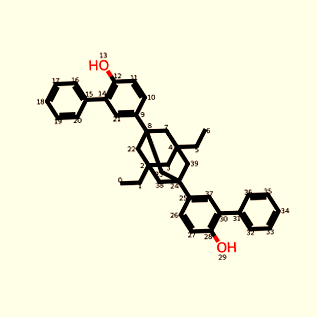 CCC12CC3(CC)CC(c4ccc(O)c(-c5ccccc5)c4)(C1)CC(c1ccc(O)c(-c4ccccc4)c1)(C2)C3